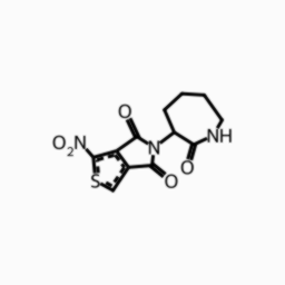 O=C1NCCCCC1N1C(=O)c2csc([N+](=O)[O-])c2C1=O